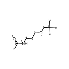 CC(=O)NCCCOCC(C)(C)C